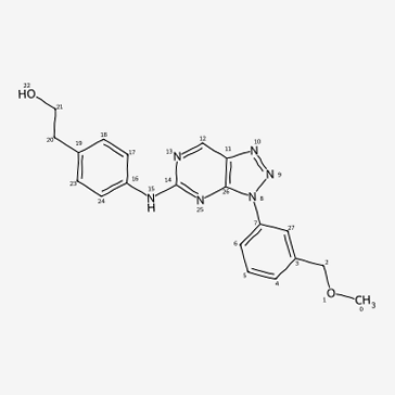 COCc1cccc(-n2nnc3cnc(Nc4ccc(CCO)cc4)nc32)c1